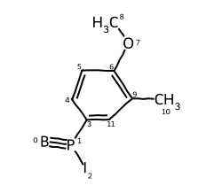 B#P(I)c1ccc(OC)c(C)c1